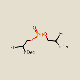 CCCCCCCCCCC(CC)CO[PH](=O)OCC(CC)CCCCCCCCCC